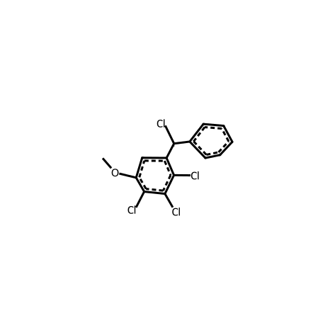 COc1cc([C](Cl)c2ccccc2)c(Cl)c(Cl)c1Cl